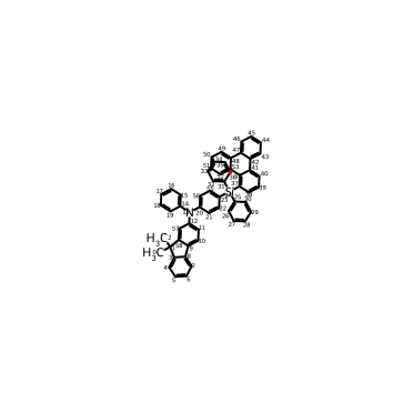 CC1(C)c2ccccc2-c2ccc(N(c3ccccc3)c3ccc([Si](c4ccccc4)(c4ccccc4)c4cccc5c6ccccc6c6ccccc6c45)cc3)cc21